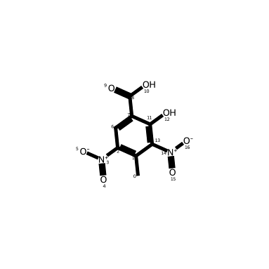 Cc1c([N+](=O)[O-])cc(C(=O)O)c(O)c1[N+](=O)[O-]